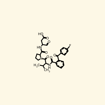 CC(C)C(NC(=O)c1ccccc1C(=O)c1ccc(F)cc1)C(=O)N1CCCC1C(=O)NC(C=O)CC(=O)O